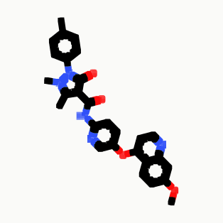 COc1ccc2c(Oc3ccc(NC(=O)c4c(C)n(C)n(-c5ccc(C)cc5)c4=O)nc3)ccnc2c1